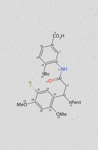 CCCCCC(CC(=O)Nc1cc(C(=O)O)ccc1C(C)(C)C)c1cc(F)c(OC)cc1OC